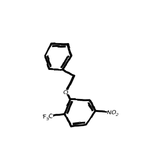 O=[N+]([O-])c1ccc(C(F)(F)F)c(OCc2ccccc2)c1